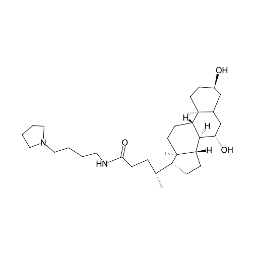 C[C@H](CCC(=O)NCCCCN1CCCC1)[C@H]1CC[C@H]2[C@@H]3[C@@H](O)CC4C[C@H](O)CC[C@]4(C)[C@H]3CC[C@]12C